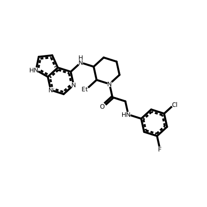 CCC1C(Nc2ncnc3[nH]ccc23)CCCN1C(=O)CNc1cc(F)cc(Cl)c1